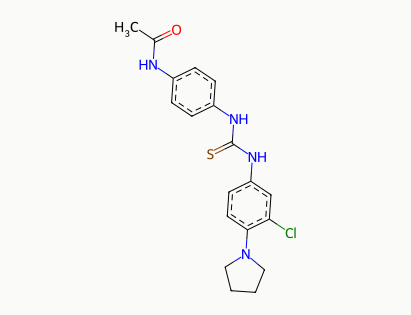 CC(=O)Nc1ccc(NC(=S)Nc2ccc(N3CCCC3)c(Cl)c2)cc1